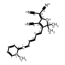 CN1C=CC=CC1=C=CC=CC=CC1=C(C#N)C(=C(C#N)C#N)OC1(C)C